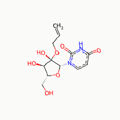 C=CCO[C@@]1(O)[C@H](O)[C@@H](CO)O[C@H]1n1ccc(=O)[nH]c1=O